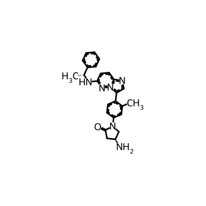 Cc1cc(N2C[C@@H](N)CC2=O)ccc1-c1cnc2ccc(N[C@H](C)c3ccccc3)nn12